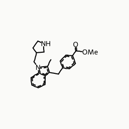 COC(=O)c1ccc(Cc2c(C)n(CC3CCNC3)c3ccccc23)cc1